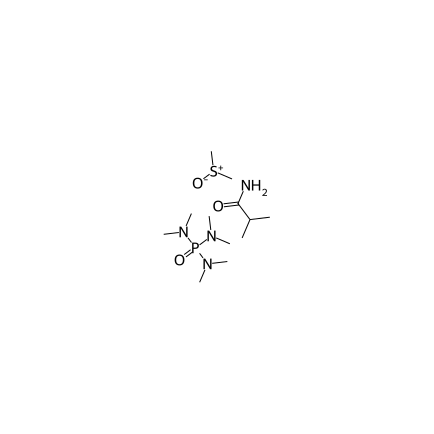 CC(C)C(N)=O.CN(C)P(=O)(N(C)C)N(C)C.C[S+](C)[O-]